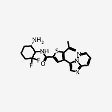 C=C(C)c1sc(C(=O)NC2[C@@H](N)CCCC2(F)F)cc1-c1cnc2cccnn12